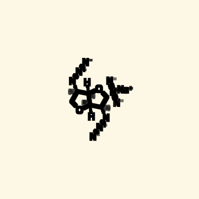 [N-]=[N+]=N[C@H]1CO[C@H]2[C@@H]1OC[C@@H]2N=[N+]=[N-].[N-]=[N+]=[N-].[Na+]